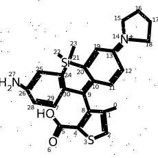 Cc1csc(C(=O)O)c1C1=C2C=CC(=[N+]3CCCC3)C=C2[Si](C)(C)c2cc(N)ccc21